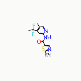 Cc1cnc(NC(=O)c2cnc(C(C)C)s2)cc1C(C)(F)F